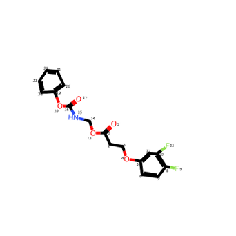 O=C(CCOc1ccc(F)c(F)c1)OCNC(=O)Oc1ccccc1